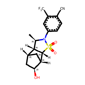 C[C@@H]1[C@H]2[C@@H]3C[C@H]([C@H]2S(=O)(=O)N1c1ccc(C#N)c(C(F)(F)F)c1)[C@@H](O)C3